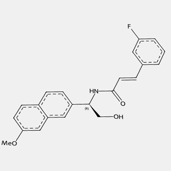 COc1ccc2ccc([C@H](CO)NC(=O)C=Cc3cccc(F)c3)cc2c1